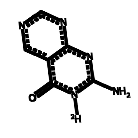 [2H]n1c(N)nc2ncncc2c1=O